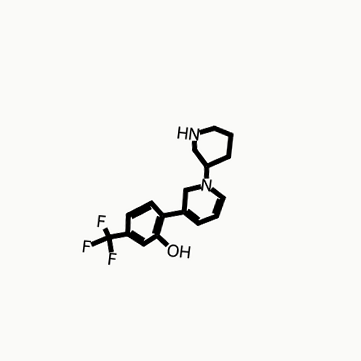 Oc1cc(C(F)(F)F)ccc1C1=CC=CN(C2CCCNC2)C1